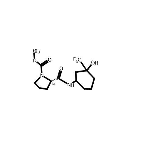 CC(C)(C)OC(=O)N1CCC[C@H]1C(=O)NC1CCCC(O)(C(F)(F)F)C1